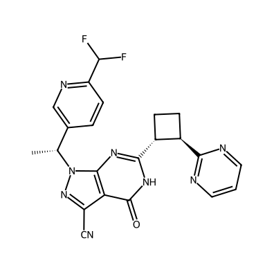 C[C@H](c1ccc(C(F)F)nc1)n1nc(C#N)c2c(=O)[nH]c([C@@H]3CC[C@H]3c3ncccn3)nc21